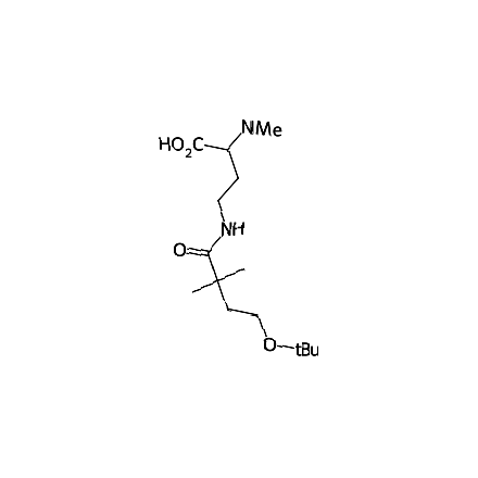 CNC(CCNC(=O)C(C)(C)CCOC(C)(C)C)C(=O)O